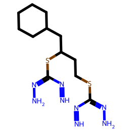 N=NC(=NN)SCCC(CC1CCCCC1)SC(N=N)=NN